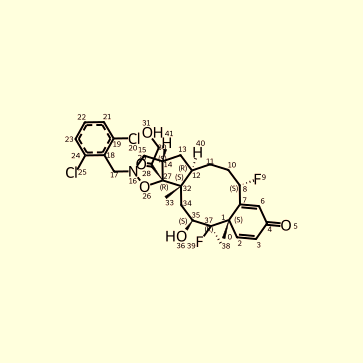 C[C@]12C=CC(=O)C=C1[C@@H](F)CC[C@@H]1C[C@H]3CN(Cc4c(Cl)cccc4Cl)O[C@@]3(C(=O)CO)[C@@]1(C)C[C@H](O)[C@]2(C)F